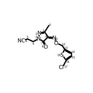 CC1=NN(CCC#N)C(=O)C1=NOCc1ccc(Cl)s1